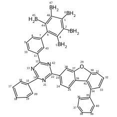 Bc1c(B)c(B)c(-c2cccc(-c3nc(-c4ccccc4)nc(-c4ccc5c(c4)oc4cccc(-c6ccccc6)c45)n3)c2)c(B)c1B